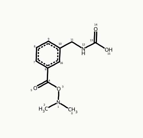 CN(C)OC(=O)c1cccc(CNC(=O)O)c1